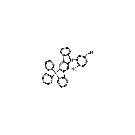 N#Cc1ccc(C#N)c(-n2c3ccccc3c3cc4c(cc32)-c2ccccc2[Si]4(c2ccccc2)c2ccccc2)c1